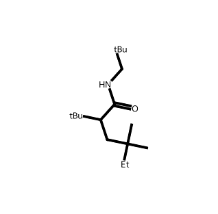 CCC(C)(C)CC(C(=O)NCC(C)(C)C)C(C)(C)C